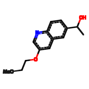 COCCOc1cnc2ccc(C(C)O)cc2c1